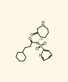 O=C1CNCCC[C@@H]1N(C(=O)[CH]CC1CCCCC1)S(=O)(=O)c1ccccn1